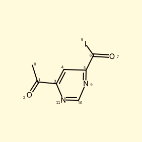 CC(=O)c1cc(C(=O)I)ncn1